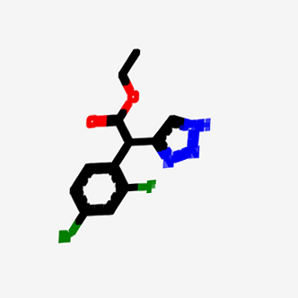 CCOC(=O)C(c1c[nH]nn1)c1ccc(Br)cc1F